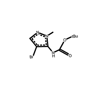 Cn1ncc(Br)c1NC(=O)OC(C)(C)C